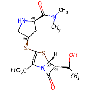 CC(O)[C@H]1C(=O)N2C(C(=O)O)=C(S[C@H]3CN[C@@H](C(=O)N(C)C)C3)S[C@H]12